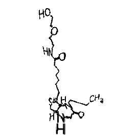 CCCN1C(=O)CN[C@H]2CS[C@@H](CCCCCCC(=O)NCCOCCO)[C@H]21